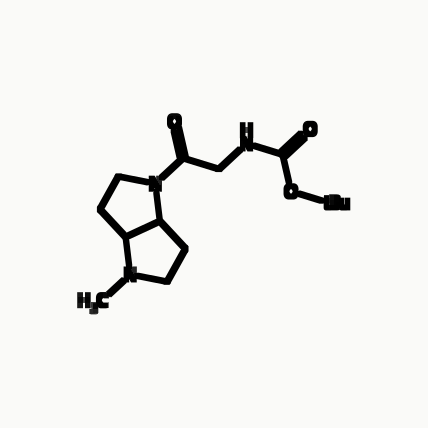 CN1CCC2C1CCN2C(=O)CNC(=O)OC(C)(C)C